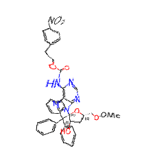 COOC[C@@H]1C[C@@H](O)[C@@](n2cnc3c(NC(=O)OCCc4ccc([N+](=O)[O-])cc4)ncnc32)(C(c2ccccc2)(c2ccccc2)c2ccccc2)O1